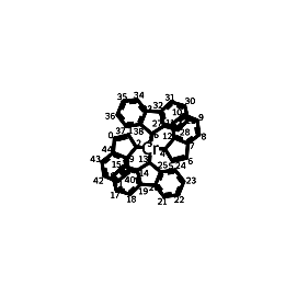 C1=C[CH]([Cr]([CH]2C=Cc3ccccc32)([CH]2c3ccccc3-c3ccccc32)[CH]2c3ccccc3-c3ccccc32)c2ccccc21